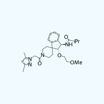 COCCO[C@H]1[C@H](NC(=O)C(C)C)c2ccccc2C12CCN(C(=O)Cn1nc(C)cc1C)CC2